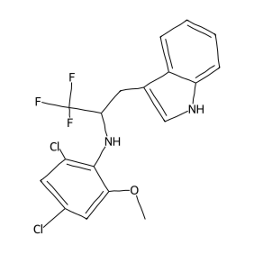 COc1cc(Cl)cc(Cl)c1NC(Cc1c[nH]c2ccccc12)C(F)(F)F